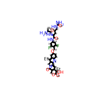 CCc1c2c(nc3ccc(OCc4c(F)cc(NC(=O)C(CCCNC(N)=O)NC(=O)C(N)C(C)C)cc4F)cc13)-c1cc3c(c(=O)n1C2)COC(=O)[C@]3(O)CC